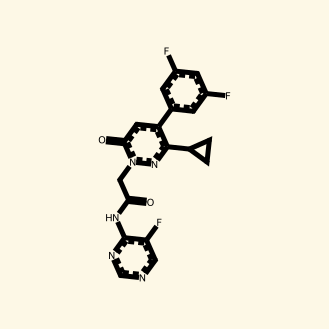 O=C(Cn1nc(C2CC2)c(-c2cc(F)cc(F)c2)cc1=O)Nc1ncncc1F